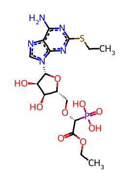 CCOC(=O)[C@H](OC[C@H]1O[C@@H](n2cnc3c(N)nc(SCC)nc32)[C@H](O)[C@@H]1O)P(=O)(O)O